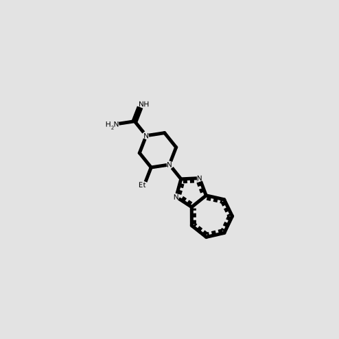 CCC1CN(C(=N)N)CCN1c1nc2cccccc-2n1